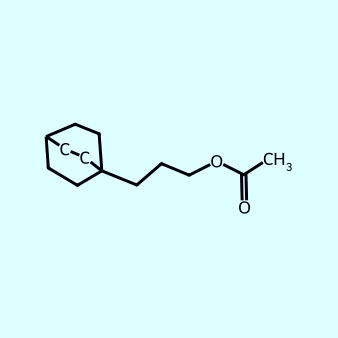 CC(=O)OCCCC12CCC(CC1)CC2